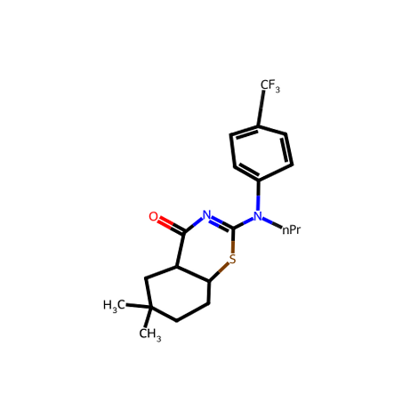 CCCN(C1=NC(=O)C2CC(C)(C)CCC2S1)c1ccc(C(F)(F)F)cc1